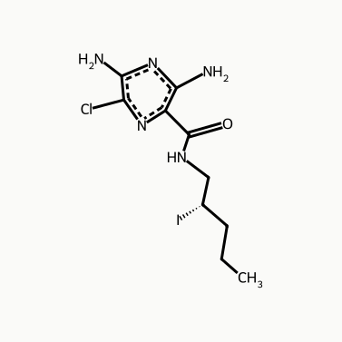 CCC[C@H](I)CNC(=O)c1nc(Cl)c(N)nc1N